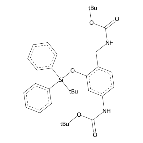 CC(C)(C)OC(=O)NCc1ccc(NC(=O)OC(C)(C)C)cc1O[Si](c1ccccc1)(c1ccccc1)C(C)(C)C